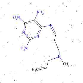 C=CCN(C)CC/C=N\c1nc(N)nc(N)c1N